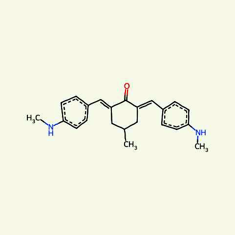 CNc1ccc(/C=C2\CC(C)C/C(=C\c3ccc(NC)cc3)C2=O)cc1